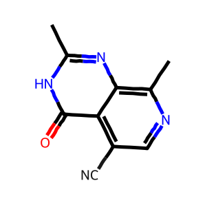 Cc1nc2c(C)ncc(C#N)c2c(=O)[nH]1